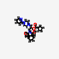 O=C(OC(CN1CCN(c2ccccn2)CC1)CN1C(=O)[C@H]2CC=CC[C@H]2C1=O)C1CCCC1